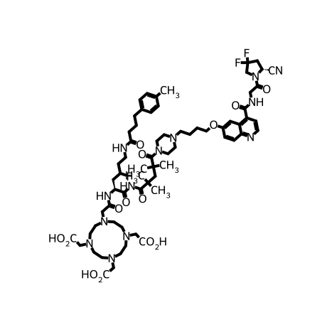 Cc1ccc(CCCC(=O)NCCC(F)C[C@H](NC(=O)CN2CCN(CC(=O)O)CCN(CC(=O)O)CCN(CC(=O)O)CC2)C(=O)NC(=O)C(C)(C)CC(C)(C)C(=O)N2CCN(CCCCOc3ccc4nccc(C(=O)NCC(=O)N5CC(F)(F)C[C@@H]5C#N)c4c3)CC2)cc1